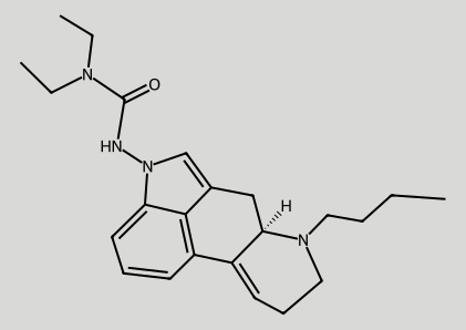 CCCCN1CCC=C2c3cccc4c3c(cn4NC(=O)N(CC)CC)C[C@H]21